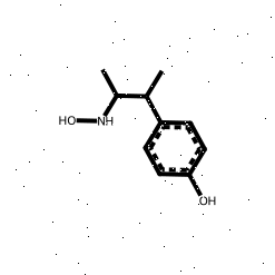 CC(NO)C(C)c1ccc(O)cc1